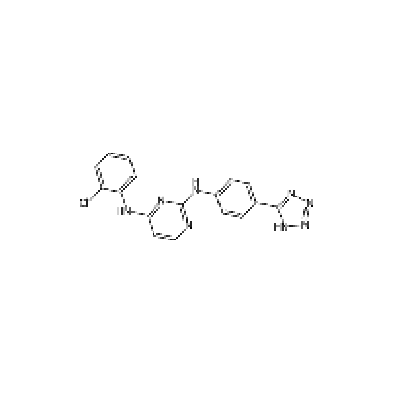 Clc1ccccc1Nc1ccnc(Nc2ccc(-c3nnn[nH]3)cc2)n1